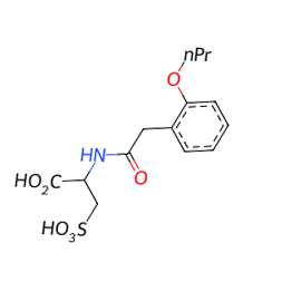 CCCOc1ccccc1CC(=O)NC(CS(=O)(=O)O)C(=O)O